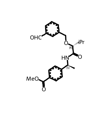 COC(=O)c1ccc([C@H](C)NC(=O)[C@H](OCc2cccc(C=O)c2)C(C)C)cc1